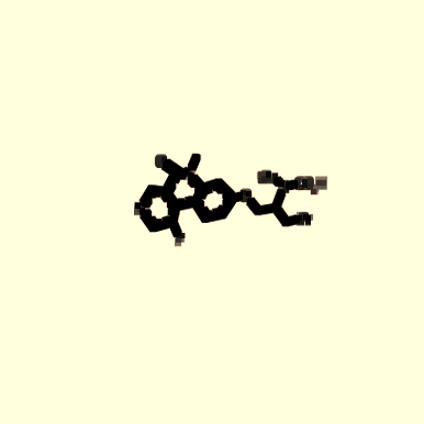 CC(C)CC(COc1ccc2c3c(F)cncc3c(=O)n(C)c2c1)N(C(=O)O)C(C)(C)C